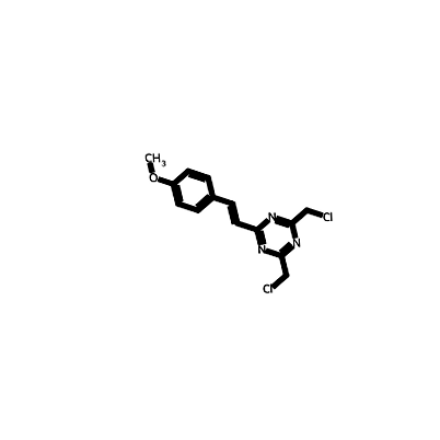 COc1ccc(C=Cc2nc(CCl)nc(CCl)n2)cc1